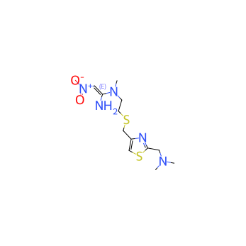 CN(C)Cc1nc(CSCCN(C)/C(N)=C/[N+](=O)[O-])cs1